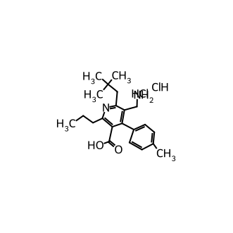 CCCc1nc(CC(C)(C)C)c(CN)c(-c2ccc(C)cc2)c1C(=O)O.Cl.Cl